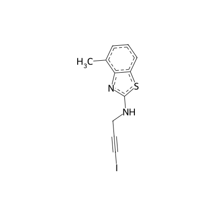 Cc1cccc2sc(NCC#CI)nc12